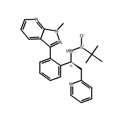 Cn1nc(-c2ccccc2[C@H](Cc2ccccn2)N[S+]([O-])C(C)(C)C)c2cccnc21